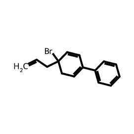 C=CCC1(Br)C=CC(c2ccccc2)=CC1